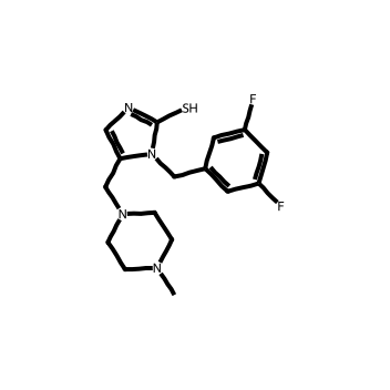 CN1CCN(Cc2cnc(S)n2Cc2cc(F)cc(F)c2)CC1